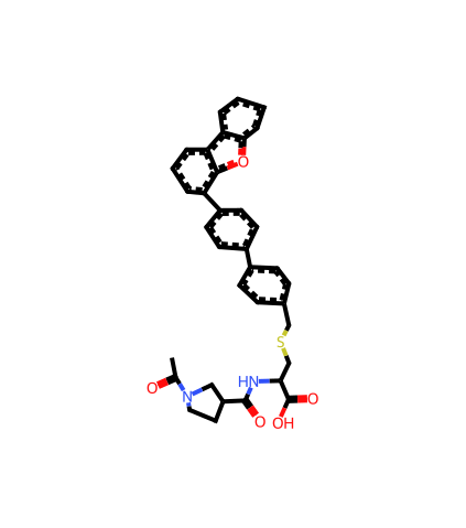 CC(=O)N1CCC(C(=O)NC(CSCc2ccc(-c3ccc(-c4cccc5c4oc4ccccc45)cc3)cc2)C(=O)O)C1